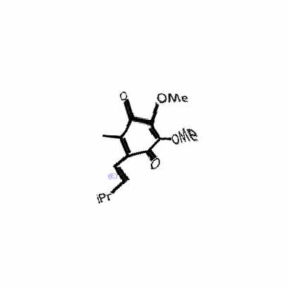 COC1=C(OC)C(=O)C(/C=C/C(C)C)=C(C)C1=O